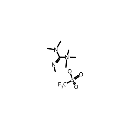 CN=C(N(C)C)[N+](C)(C)C.O=S(=O)([O-])C(F)(F)F